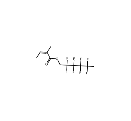 CC=C(C)C(=O)OCC(F)(F)C(F)(F)C(F)(F)C(C)(F)F